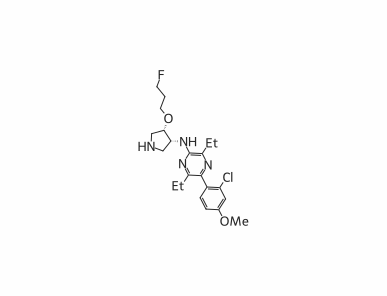 CCc1nc(-c2ccc(OC)cc2Cl)c(CC)nc1N[C@@H]1CNC[C@@H]1OCCCF